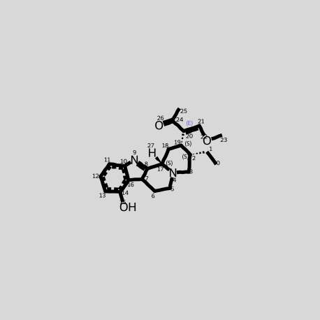 CC[C@@H]1CN2CCC3C(=Nc4cccc(O)c43)[C@@H]2C[C@@H]1/C(=C\OC)C(C)=O